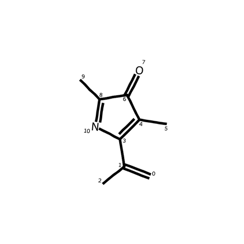 C=C(C)C1=C(C)C(=O)C(C)=N1